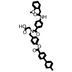 COc1ccccc1CC(=O)Nc1ccc(C(=O)N(CC(=O)O)Cc2ccc(OC(=O)c3ccc(-c4ccc(C)cc4)cc3)cc2)cc1